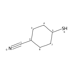 N#CC1CCC(S)CC1